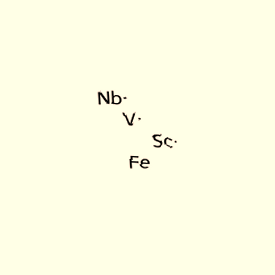 [Fe].[Nb].[Sc].[V]